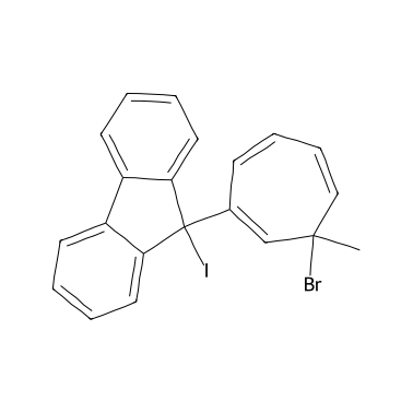 CC1(Br)C=CC=CC(C2(I)c3ccccc3-c3ccccc32)=C1